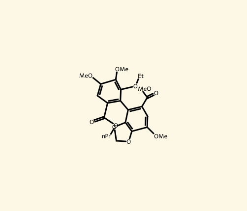 CCCOC(=O)c1cc(OC)c(OC)c(OCC)c1-c1c(C(=O)OC)cc(OC)c2c1OCO2